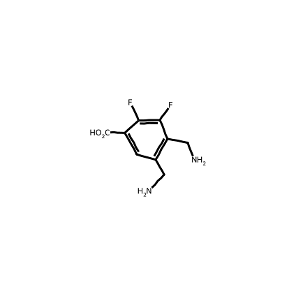 NCc1cc(C(=O)O)c(F)c(F)c1CN